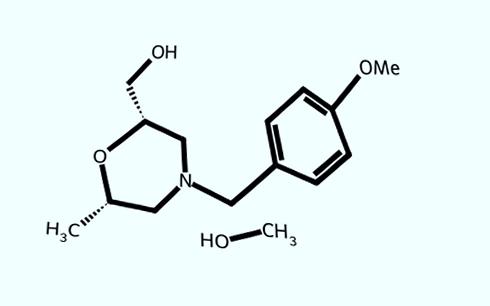 CO.COc1ccc(CN2C[C@@H](CO)O[C@@H](C)C2)cc1